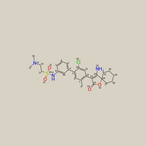 Cc1cc(-c2cccc(NS(=O)(=O)CCN(C)C)c2)c(Cl)cc1C1=C(N)C2(CCCCC2)OC1=O